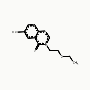 CCOCCn1cnc2ccc(N)cc2c1=O